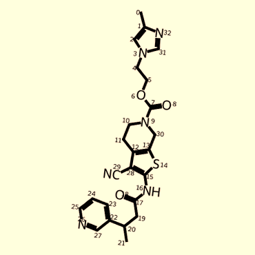 Cc1cn(CCOC(=O)N2CCc3c(sc(NC(=O)CC(C)c4cccnc4)c3C#N)C2)cn1